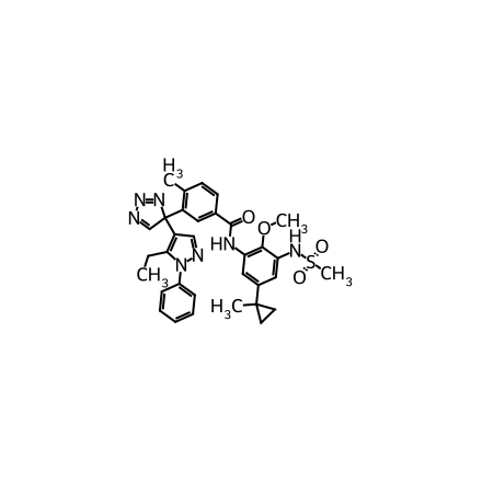 CCc1c(C2(c3cc(C(=O)Nc4cc(C5(C)CC5)cc(NS(C)(=O)=O)c4OC)ccc3C)C=NN=N2)cnn1-c1ccccc1